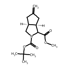 C=C1C[C@@H]2CN(C(=O)OC(C)(C)C)C(C(=O)OC)[C@@H]2C1